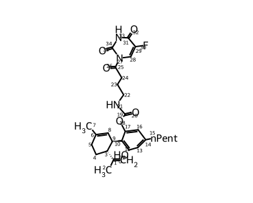 C=C(C)[C@@H]1CCC(C)=C[C@H]1c1c(O)cc(CCCCC)cc1OC(=O)NCCCC(=O)n1cc(F)c(=O)[nH]c1=O